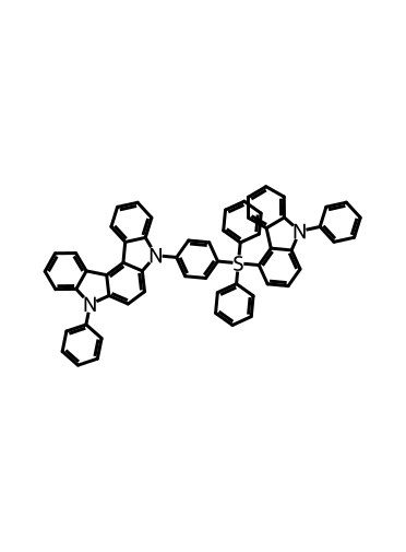 c1ccc(-n2c3ccccc3c3c(S(c4ccccc4)(c4ccccc4)c4ccc(-n5c6ccccc6c6c7c8ccccc8n(-c8ccccc8)c7ccc65)cc4)cccc32)cc1